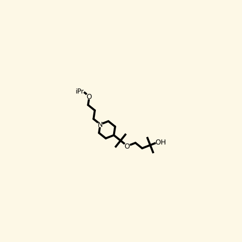 CC(C)OCCCN1CCC(C(C)(C)OCCC(C)(C)O)CC1